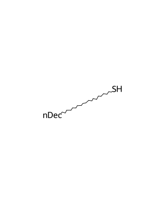 CCCCCCCCCCCCCCCCCCCCCCCCCCCCCCS